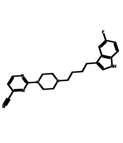 N#Cc1ccnc(N2CCN(CCCCc3c[nH]c4ccc(F)cc34)CC2)n1